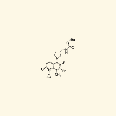 Cc1c(Br)c(F)c(N2CCC(CNC(=O)OC(C)(C)C)C2)c2ccc(=O)n(C3CC3)c12